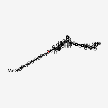 COCCOCCOCCOCCOCCOCCOCCOCCOCCOCCOCCOCCC(=O)NC[C@H](C(=O)NCC(=O)NCC(=O)N[C@@H](Cc1ccccc1)C(=O)NCC(=O)NCc1ccc(COc2ccc(NC(=O)NCc3ccc4c(c3)CN(C3CCC(=O)NC3=O)C4=O)cc2)cc1)N1C(=O)C=CC1=O